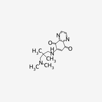 CN(C)CC(C)(C)CNC1=CC(=O)c2nccnc2C1=O